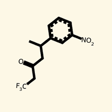 CC(CC(=O)CC(F)(F)F)c1cccc([N+](=O)[O-])c1